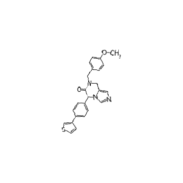 COc1ccc(CN2Cc3cncn3C(c3ccc(-c4ccsc4)cc3)C2=O)cc1